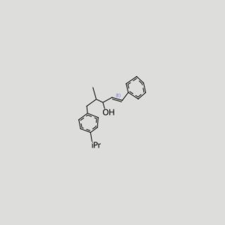 CC(C)c1ccc(CC(C)C(O)/C=C/c2ccccc2)cc1